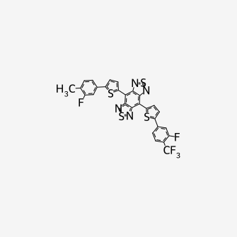 Cc1ccc(-c2ccc(-c3c4c(c(-c5ccc(-c6ccc(C(F)(F)F)c(F)c6)s5)c5nsnc35)N=S=N4)s2)cc1F